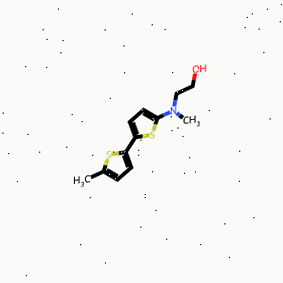 Cc1ccc(-c2ccc(N(C)CCO)s2)s1